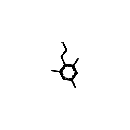 [CH2]CCc1c(C)cc(C)cc1C